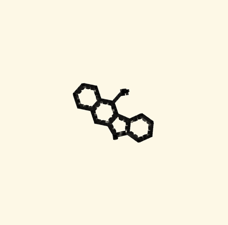 CC(C)c1c2ccccc2cc2sc3ccccc3c12